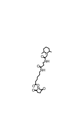 CC1CCCC(C)N1CC(=O)NCCC(=O)NCCCCCC(=O)ON1C(=O)CCC1=O